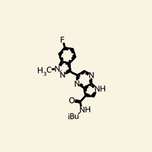 CC[C@@H](C)NC(=O)c1c[nH]c2ncc(-c3nn(C)c4cc(F)ccc34)nc12